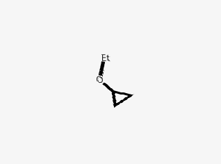 CCOC1CC1